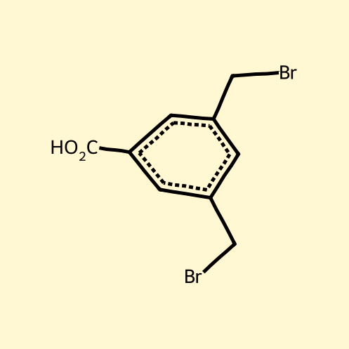 O=C(O)c1cc(CBr)cc(CBr)c1